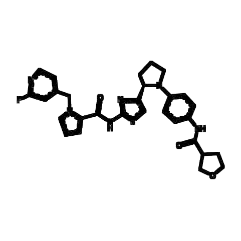 O=C(Nc1nc([C@H]2CCCN2c2ccc(NC(=O)C3CCOC3)cc2)cs1)c1cccn1Cc1ccnc(F)c1